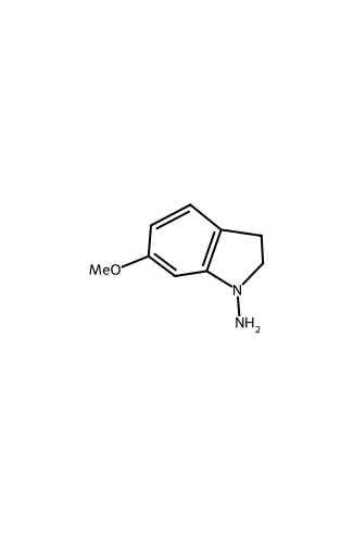 COc1ccc2c(c1)N(N)CC2